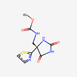 CC(C)(C)OC(=O)NC[C@@]1(c2nccs2)NC(=O)NC1=O